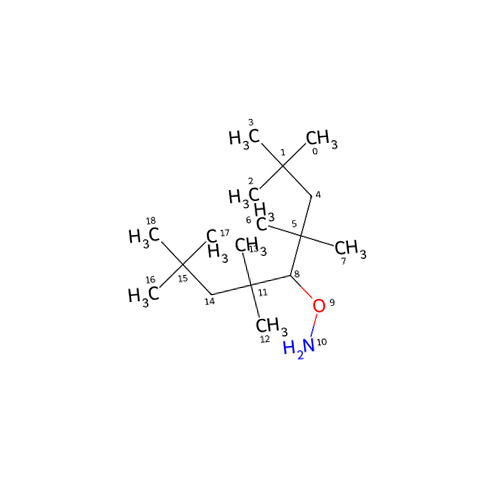 CC(C)(C)CC(C)(C)C(ON)C(C)(C)CC(C)(C)C